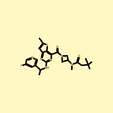 Cc1cc2nc(NC(C)c3cncc(F)c3)nc(C(=O)N3CC(N(C)C(=O)CC(C)(C)C)C3)c2s1